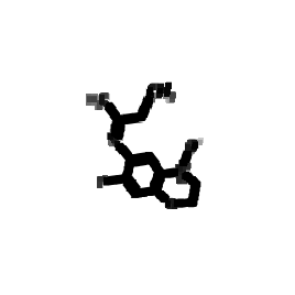 CCC(C)=Nc1cc2c(cc1F)OCC[NH+]2[O-]